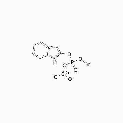 O=P(OBr)(Oc1cc2ccccc2[nH]1)O[Cl+2]([O-])[O-]